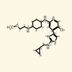 COCCNC1CCC(Nc2cc(-c3csc(NCC4CC4)n3)c(Cl)cn2)CC1